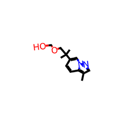 Cc1cnn2cc(C(C)(C)COCO)ccc12